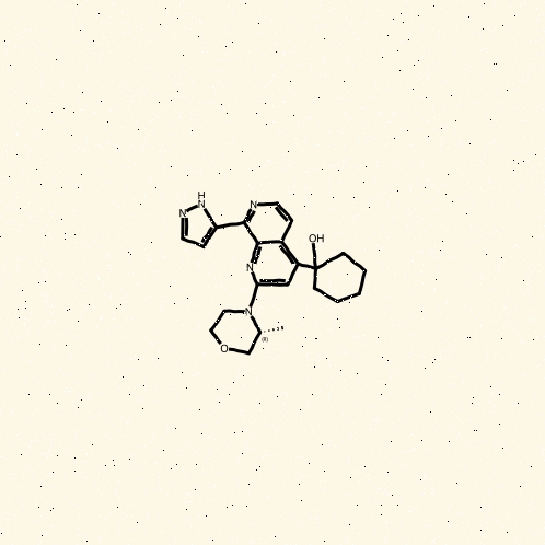 C[C@@H]1COCCN1c1cc(C2(O)CCCCC2)c2ccnc(-c3ccn[nH]3)c2n1